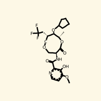 COc1ccnc(C(=O)N[C@H]2COC[C@H](CC(F)(F)F)[C@@H](OC3CCCC3)[C@H](C)OC2=O)c1O